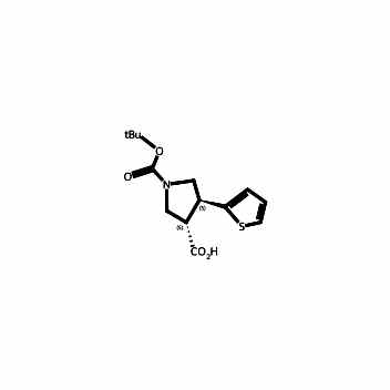 CC(C)(C)OC(=O)N1C[C@@H](C(=O)O)[C@H](c2cccs2)C1